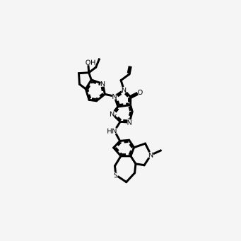 C=CCn1c(=O)c2cnc(Nc3cc4c5c(c3)CN(C)CC5CCSC4)nc2n1-c1ccc2c(n1)C(O)(CC)CC2